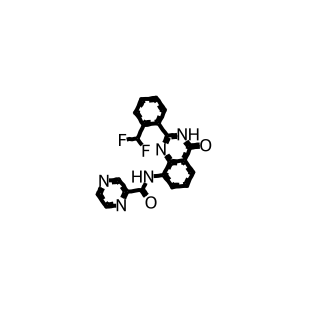 O=C(Nc1cccc2c(=O)[nH]c(-c3ccccc3C(F)F)nc12)c1cnccn1